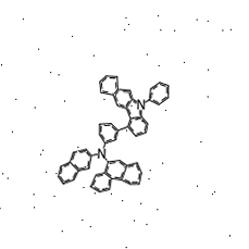 c1ccc(-n2c3cc4ccccc4cc3c3c(-c4cccc(N(c5ccc6ccccc6c5)c5cc6ccccc6c6ccccc56)c4)cccc32)cc1